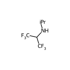 CC(C)NC(C(F)(F)F)C(F)(F)F